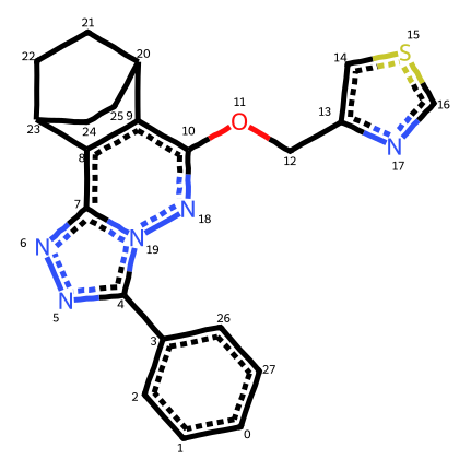 c1ccc(-c2nnc3c4c(c(OCc5cscn5)nn23)C2CCC4CC2)cc1